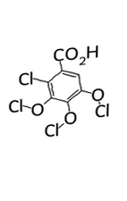 O=C(O)c1cc(OCl)c(OCl)c(OCl)c1Cl